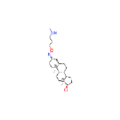 CNCCCON=C1C=C2CCC3C(CC[C@]4(C)C(=O)CCC34)[C@@]2(C)CC1